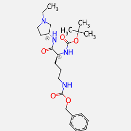 CCN1CC[C@@H](NC(=O)[C@H](CCCNC(=O)OCc2ccccc2)NC(=O)OC(C)(C)C)C1